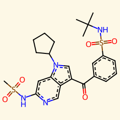 CC(C)(C)NS(=O)(=O)c1cccc(C(=O)c2cn(C3CCCC3)c3cc(NS(C)(=O)=O)ncc23)c1